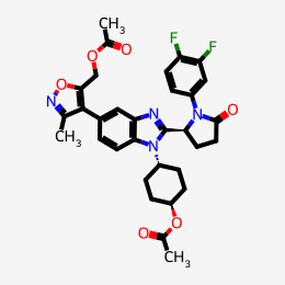 CC(=O)OCc1onc(C)c1-c1ccc2c(c1)nc([C@@H]1CCC(=O)N1c1ccc(F)c(F)c1)n2[C@H]1CC[C@H](OC(C)=O)CC1